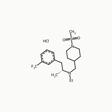 CCN(CC1CCN(S(C)(=O)=O)CC1)[C@H](C)Cc1cccc(C(F)(F)F)c1.Cl